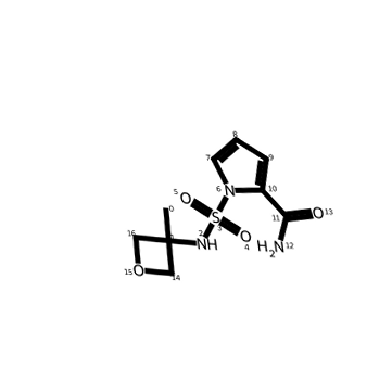 CC1(NS(=O)(=O)n2cccc2C(N)=O)COC1